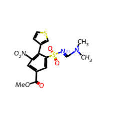 COC(=O)c1cc([N+](=O)[O-])c(-c2ccsc2)c(S(=O)(=O)/N=C/N(C)C)c1